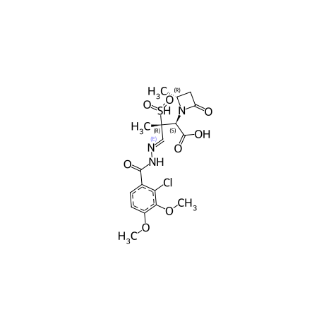 COc1ccc(C(=O)N/N=C/[C@@](C)([C@H](C(=O)O)N2C(=O)C[C@H]2C)[SH](=O)=O)c(Cl)c1OC